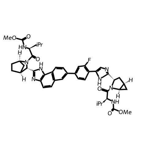 COC(=O)N[C@H](C(=O)N1[C@@H]2CC[C@@H](C2)[C@H]1c1nc2ccc3cc(-c4ccc(-c5cnc([C@@H]6C[C@H]7C[C@H]7N6C(=O)[C@@H](NC(=O)OC)C(C)C)[nH]5)c(F)c4)ccc3c2[nH]1)C(C)C